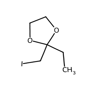 CCC1(CI)OCCO1